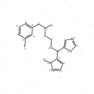 CN(CCOC(c1cncs1)c1ccnn1C)Cc1cccc(F)c1